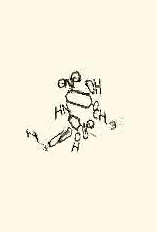 COc1cc(Nc2cc(OC)c(O)c([N+](=O)[O-])c2)cc([N+](=O)[O-])c1O